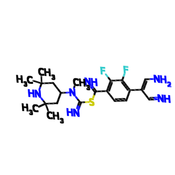 CN(C(=N)SC(=N)c1ccc(/C(C=N)=C/N)c(F)c1F)C1CC(C)(C)NC(C)(C)C1